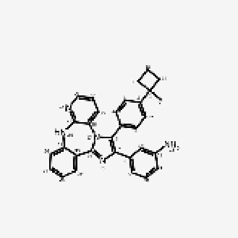 CC1(c2ccc(-c3c(-c4cccc(N)c4)nc4n3-c3cccnc3Nc3ccccc3-4)cc2)CCC1